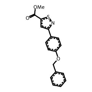 COC(=O)c1cc(-c2ccc(OCc3ccccc3)cc2)ns1